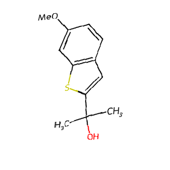 COc1ccc2cc(C(C)(C)O)sc2c1